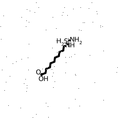 N[SiH2]NCCCCCCCCCCC(=O)O